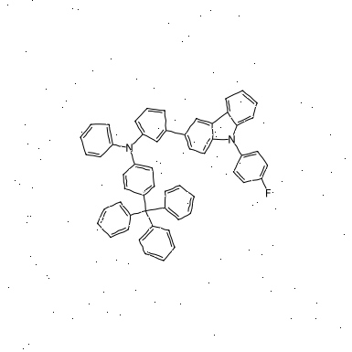 Fc1ccc(-n2c3ccccc3c3cc(-c4cccc(N(c5ccccc5)c5ccc(C(c6ccccc6)(c6ccccc6)c6ccccc6)cc5)c4)ccc32)cc1